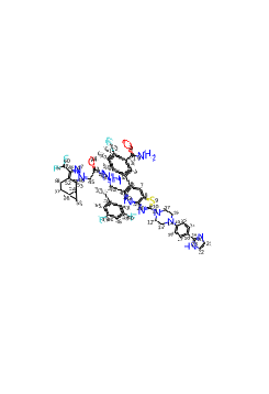 NC(=O)c1cc(-c2cc3sc(N4CCN(c5ccc(-c6ncc[nH]6)cc5)CC4)nc3nc2[C@H](Cc2cc(F)cc(F)c2)NC(=O)Cn2nc(C(F)F)c3c2C2CC2CC3)ccc1F